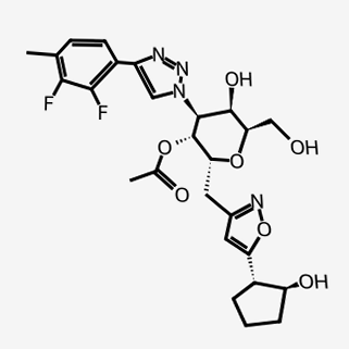 CC(=O)O[C@@H]1[C@@H](n2cc(-c3ccc(C)c(F)c3F)nn2)[C@@H](O)[C@@H](CO)O[C@@H]1Cc1cc([C@H]2CCC[C@@H]2O)on1